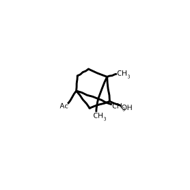 CC(=O)C12CCC(C)(C(O)C1)C2(C)C